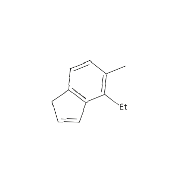 CCc1c(C)ccc2c1C=CC2